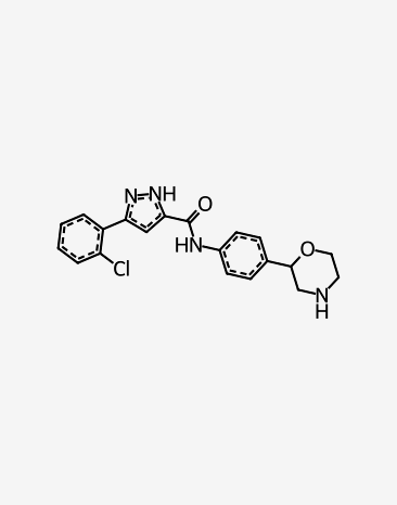 O=C(Nc1ccc(C2CNCCO2)cc1)c1cc(-c2ccccc2Cl)n[nH]1